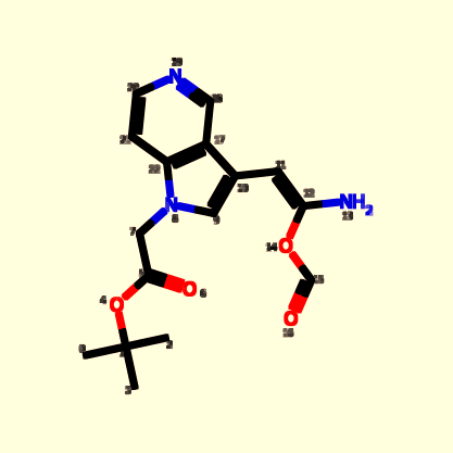 CC(C)(C)OC(=O)Cn1cc(/C=C(/N)OC=O)c2cnccc21